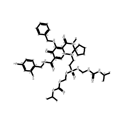 CC(C)OC(=O)OCOP(=O)(CCN1n2cc(C(=O)NCc3ccc(F)cc3F)c(=O)c(OCc3ccccc3)c2C(=O)N(C)C12CCCC2)OCOC(=O)OC(C)C